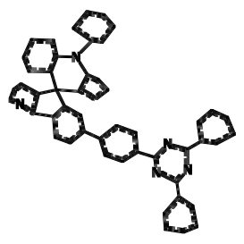 c1ccc(-c2nc(-c3ccccc3)nc(-c3ccc(-c4ccc5c(c4)C4(c6ccccc6N(c6ccccc6)c6ccccc64)c4cccnc4-5)cc3)n2)cc1